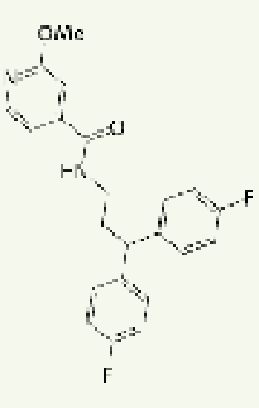 COc1cc(C(=O)NCCC(c2ccc(F)cc2)c2ccc(F)cc2)ccn1